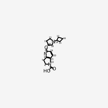 O=C(O)N1CCc2nc(O[C@@H]3CCN(C4CCC4)C3)ccc2C1